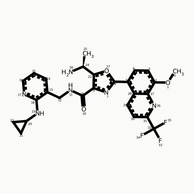 COc1ccc(-c2nc(C(=O)NCc3cccnc3NC3CC3)c([C@H](C)N)o2)c2ccc(C(F)(F)F)nc12